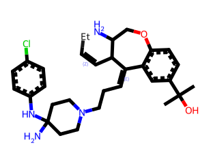 CC/C=C\C1/C(=C\CCN2CCC(N)(Nc3ccc(Cl)cc3)CC2)c2cc(C(C)(C)O)ccc2OCC1N